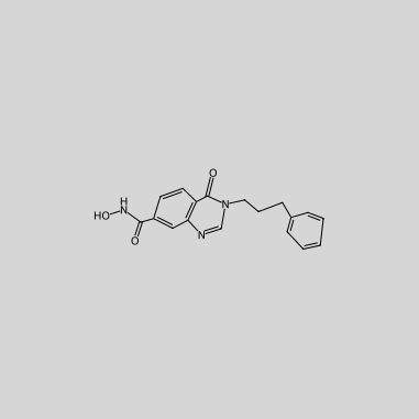 O=C(NO)c1ccc2c(=O)n(CCCc3ccccc3)cnc2c1